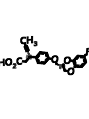 CC#C[C@@H](CC(=O)O)c1ccc(OC[C@H]2COc3ccc(F)cc3O2)cc1